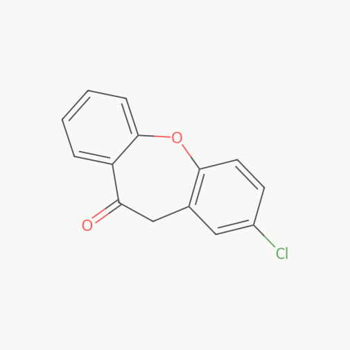 O=C1Cc2cc(Cl)ccc2Oc2ccccc21